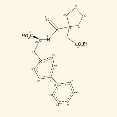 CCOC(=O)CC1(C(=O)N[C@@H](Cc2ccc(-c3ccccc3)cc2)C(=O)O)CCCC1